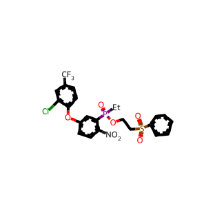 CCP(=O)(OCCS(=O)(=O)c1ccccc1)c1cc(Oc2ccc(C(F)(F)F)cc2Cl)ccc1[N+](=O)[O-]